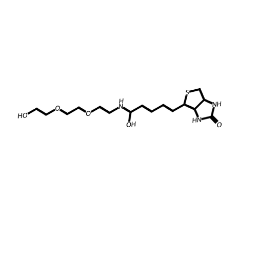 O=C1NC2CSC(CCCCC(O)NCCOCCOCCO)C2N1